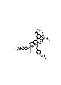 COc1cc(OC)c(Cl)c(-c2cc3cnc(NC4CC5(C4)CN(C)C5)nc3n(CCc3ccc(N)cc3)c2=O)c1